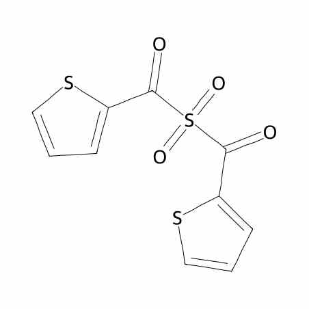 O=C(c1cccs1)S(=O)(=O)C(=O)c1cccs1